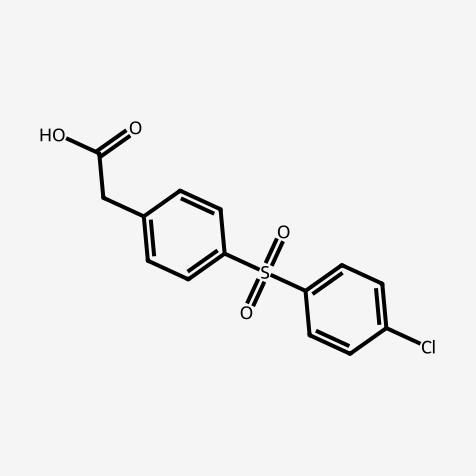 O=C(O)Cc1ccc(S(=O)(=O)c2ccc(Cl)cc2)cc1